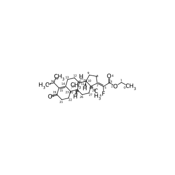 CCOC(=O)C(F)=C1CC[C@H]2[C@@H]3CCC4=C(C(C)C)C(=O)CC[C@]4(C)[C@H]3CC[C@]12C